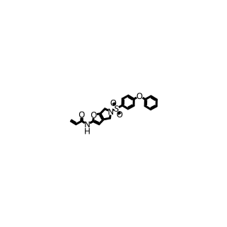 C=CC(=O)Nc1cc2c(o1)CN(S(=O)(=O)c1ccc(Oc3ccccc3)cc1)C2